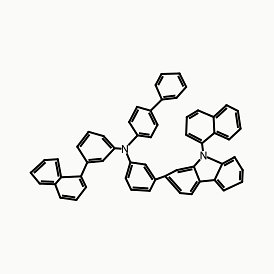 c1ccc(-c2ccc(N(c3cccc(-c4ccc5c6ccccc6n(-c6cccc7ccccc67)c5c4)c3)c3cccc(-c4cccc5ccccc45)c3)cc2)cc1